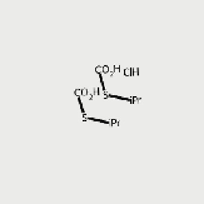 CC(C)SC(=O)O.CC(C)SC(=O)O.Cl